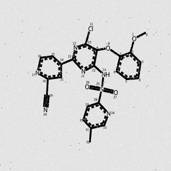 COc1ccccc1Oc1c(Cl)nc(-c2ccnc(C#N)c2)nc1NS(=O)(=O)c1ccc(C)cn1